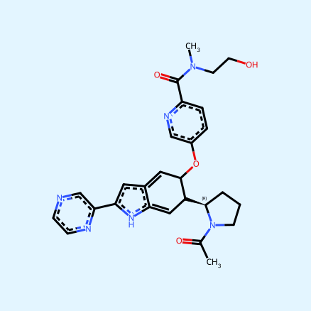 CC(=O)N1CCC[C@@H]1C1C=c2[nH]c(-c3cnccn3)cc2=CC1Oc1ccc(C(=O)N(C)CCO)nc1